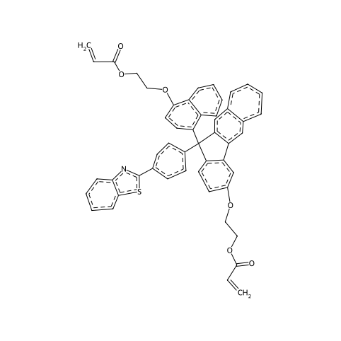 C=CC(=O)OCCOc1ccc2c(c1)-c1cc3ccccc3cc1C2(c1ccc(-c2nc3ccccc3s2)cc1)c1ccc(OCCOC(=O)C=C)c2ccccc12